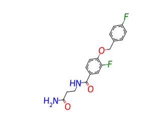 NC(=O)CCNC(=O)c1ccc(OCc2ccc(F)cc2)c(F)c1